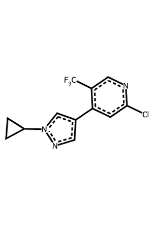 FC(F)(F)c1cnc(Cl)cc1-c1cnn(C2CC2)c1